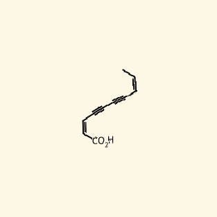 C/C=C\C#CC#C/C=C\C(=O)O